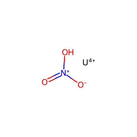 O=[N+]([O-])O.[U+4]